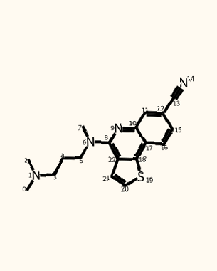 CN(C)CCCN(C)c1nc2cc(C#N)ccc2c2sccc12